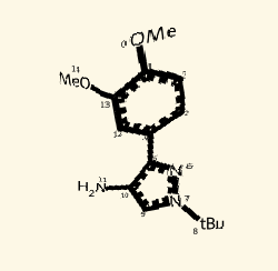 COc1ccc(-c2nn(C(C)(C)C)cc2N)cc1OC